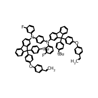 C=Cc1ccc(Oc2ccc(C3(c4ccc(C(C)(C)C)cc4)c4ccccc4-c4ccc(N(c5ccc(N(c6cccc(F)c6)c6ccc7c(c6)C(c6ccc(Oc8ccc(C=C)cc8)cc6)(c6ccc(C(C)(C)C)cc6)c6ccccc6-7)cc5)c5cccc(F)c5)cc43)cc2)cc1